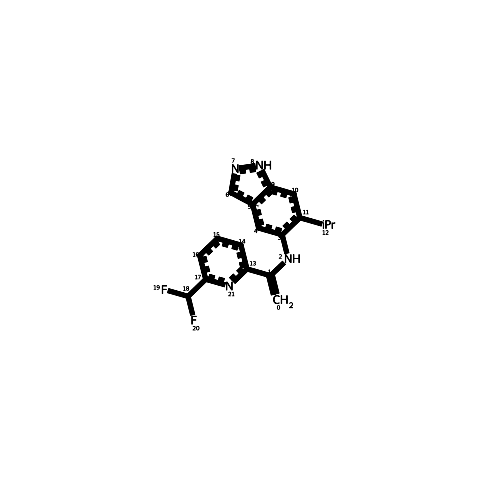 C=C(Nc1cc2cn[nH]c2cc1C(C)C)c1cccc(C(F)F)n1